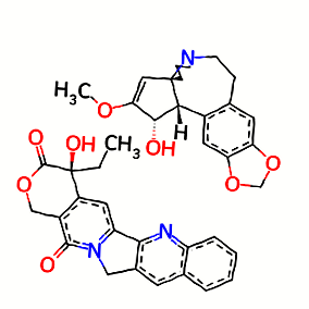 CC[C@@]1(O)C(=O)OCc2c1cc1n(c2=O)Cc2cc3ccccc3nc2-1.COC1=C[C@]23CCCN2CCc2cc4c(cc2[C@@H]3[C@@H]1O)OCO4